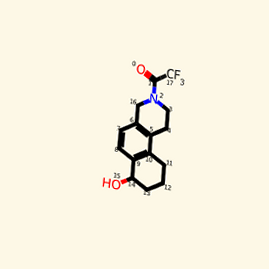 O=C(N1CCc2c(ccc3c2CCCC3O)C1)C(F)(F)F